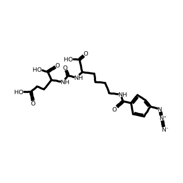 [N-]=[N+]=Nc1ccc(C(=O)NCCCCC(NC(=O)NC(CCC(=O)O)C(=O)O)C(=O)O)cc1